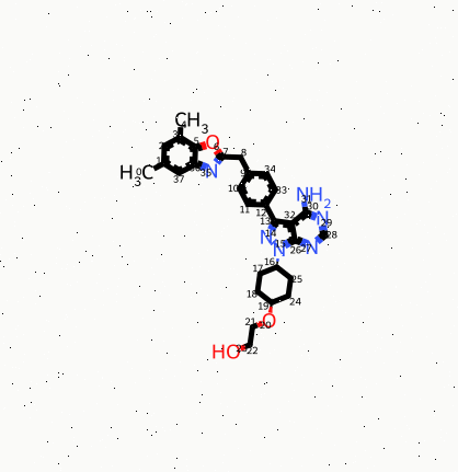 Cc1cc(C)c2oc(Cc3ccc(-c4nn([C@H]5CC[C@H](OCCO)CC5)c5ncnc(N)c45)cc3)nc2c1